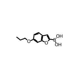 CCCOc1ccc2cc(B(O)O)oc2c1